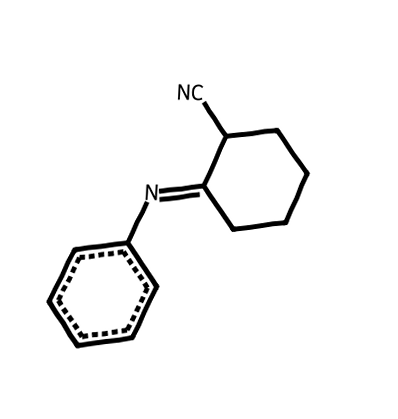 N#CC1CCCC/C1=N\c1ccccc1